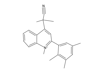 Cc1cc(C)c(C)c(-c2cc(C(C)(C)C#N)c3ccccc3[n+]2C)c1